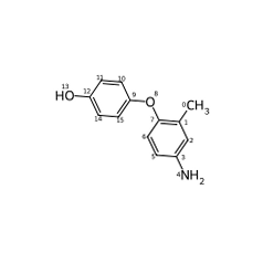 Cc1cc(N)ccc1Oc1ccc(O)cc1